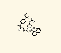 COC(=O)c1ccc(N(C)C(=O)CN(C)C(=O)C2CC(SC(C)=O)CN2S(=O)(=O)c2cccc3cccnc23)cc1